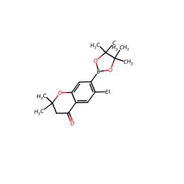 CCc1cc2c(cc1B1OC(C)(C)C(C)(C)O1)OC(C)(C)CC2=O